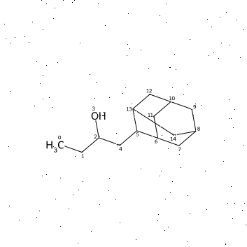 CCC(O)CC1C2CC3CC(C2)CC1C3